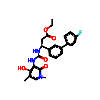 CCOC(=O)C[C@H](NC(=O)Nc1c(O)c(C)cn(C)c1=O)c1cccc(-c2ccc(F)cc2)c1